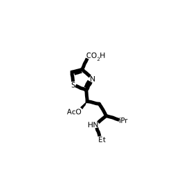 CCNC(C[C@@H](OC(C)=O)c1nc(C(=O)O)cs1)C(C)C